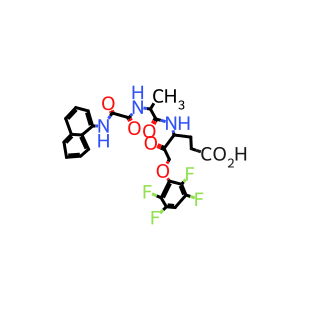 CC(NC(=O)C(=O)Nc1cccc2ccccc12)C(=O)NC(CCC(=O)O)C(=O)COc1c(F)c(F)cc(F)c1F